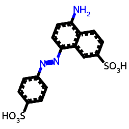 Nc1ccc(/N=N/c2ccc(S(=O)(=O)O)cc2)c2cc(S(=O)(=O)O)ccc12